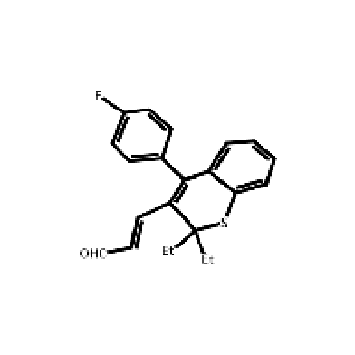 CCC1(CC)Sc2ccccc2C(c2ccc(F)cc2)=C1C=CC=O